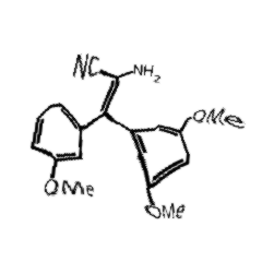 COc1cccc(/C(=C(/N)C#N)c2cc(OC)cc(OC)c2)c1